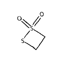 O=S1(=O)CCS1